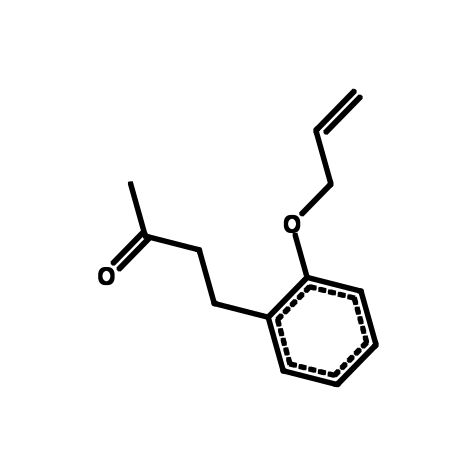 C=CCOc1ccccc1CCC(C)=O